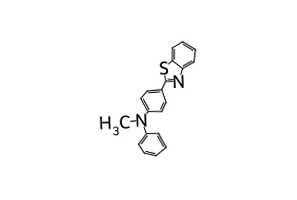 CN(c1ccccc1)c1ccc(-c2nc3ccccc3s2)cc1